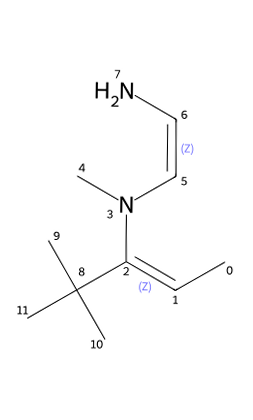 C/C=C(\N(C)/C=C\N)C(C)(C)C